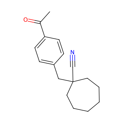 CC(=O)c1ccc(CC2(C#N)CCCCCC2)cc1